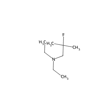 CCN(CC)CC(C)(C)F